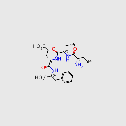 CC(C)C[C@H](NC(=O)[C@@H](N)CC(C)C)C(=O)N[C@@H](CCC(=O)O)C(=O)N[C@@H](Cc1ccccc1)C(=O)O